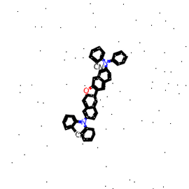 N#Cc1ccccc1N(C1=CC=CCC1)c1ccc2c(c1)=CC1Oc3cc4cc(N(c5ccccc5)c5ccccc5C#N)ccc4cc3C1C=2